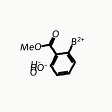 [B+2]c1ccccc1C(=O)OC.[OH-].[OH-]